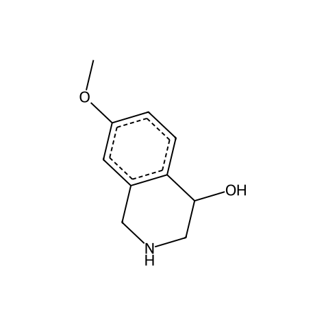 COc1ccc2c(c1)CNCC2O